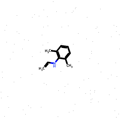 C=CNc1c(C)cccc1C